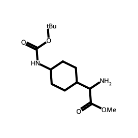 COC(=O)C(N)C1CCC(NC(=O)OC(C)(C)C)CC1